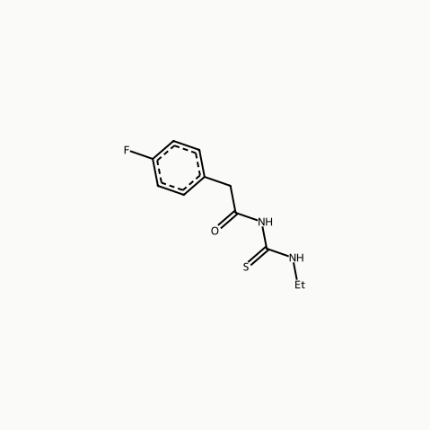 CCNC(=S)NC(=O)Cc1ccc(F)cc1